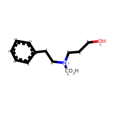 O=C(O)N(CCCO)CCc1ccccc1